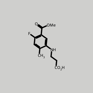 COC(=O)c1cc(NCCC(=O)O)c(C)cc1F